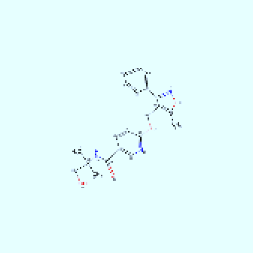 Cc1onc(-c2ccccc2)c1COc1ccc(C(=O)NC(C)(C)CO)cn1